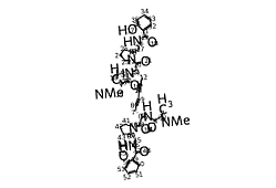 CN[C@@H](C)C(=O)N[C@@H](CC#CC#CC[C@H](NC(=O)[C@H](C)NC)C(=O)N1CCC[C@H]1CNC(=O)c1ccccc1O)C(=O)N1CCC[C@H]1CNC(=O)c1ccccc1O